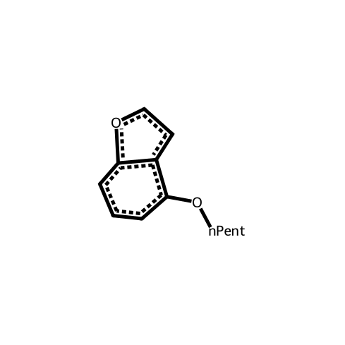 CCCCCOc1cccc2occc12